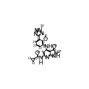 COc1c(Nc2cc(NC(=O)C3CC3)nc3[nH]n(C)c(=O)c23)cccc1-c1nnn(C)n1